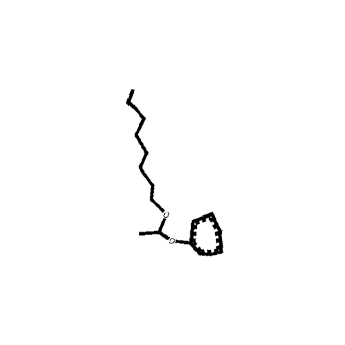 CCCCCCCCOC(C)Oc1cc[c]cc1